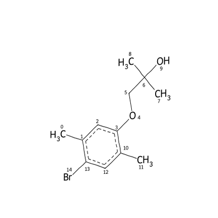 Cc1cc(OCC(C)(C)O)c(C)cc1Br